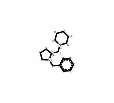 c1ccc(CN2CCC[C@H]2CN2CCCCC2)cc1